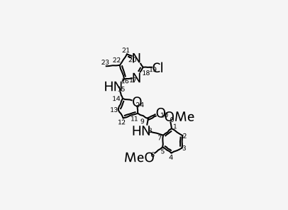 COc1cccc(OC)c1NC(=O)c1ccc(Nc2nc(Cl)ncc2C)o1